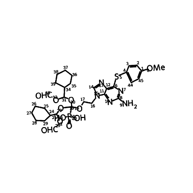 COc1ccc(Sc2nc(N)nc3c2ncn3CCOC(OC(OC=O)C2CCCCC2)(OC(OC=O)C2CCCCC2)P(=O)(O)O)cc1